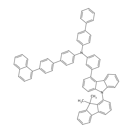 CC1(C)c2ccccc2-c2cccc(-n3c4ccccc4c4c(-c5cccc(N(c6ccc(-c7ccccc7)cc6)c6ccc(-c7ccc(-c8cccc9ccccc89)cc7)cc6)c5)cccc43)c21